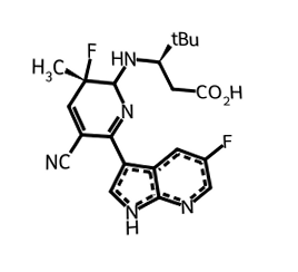 CC(C)(C)[C@@H](CC(=O)O)NC1N=C(c2c[nH]c3ncc(F)cc23)C(C#N)=C[C@]1(C)F